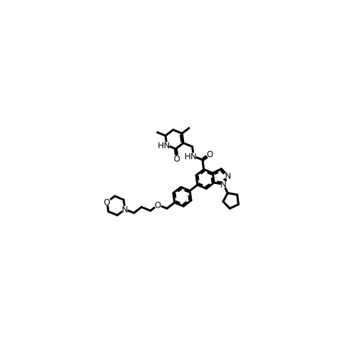 CC1=C(CNC(=O)c2cc(-c3ccc(COCCCN4CCOCC4)cc3)cc3c2cnn3C2CCCC2)C(=O)NC(C)C1